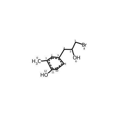 Cc1cc(CC(O)CBr)ccc1O